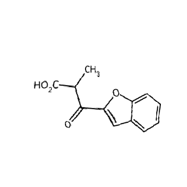 CC(C(=O)O)C(=O)c1cc2ccccc2o1